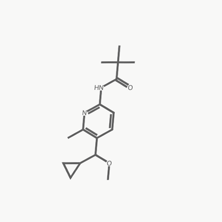 COC(c1ccc(NC(=O)C(C)(C)C)nc1C)C1CC1